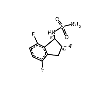 NS(=O)(=O)N[C@@H]1c2c(F)ccc(F)c2C[C@H]1F